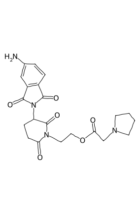 Nc1ccc2c(c1)C(=O)N(C1CCC(=O)N(CCOC(=O)CN3CCCC3)C1=O)C2=O